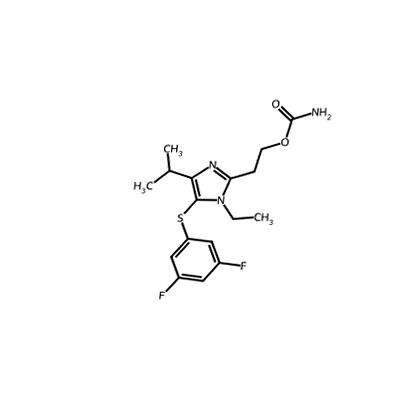 CCn1c(CCOC(N)=O)nc(C(C)C)c1Sc1cc(F)cc(F)c1